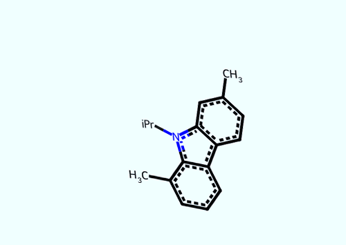 Cc1ccc2c3cccc(C)c3n(C(C)C)c2c1